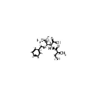 CC(CS)C(=O)NC(C(=O)O)C(OCc1ccccc1)N(C)C